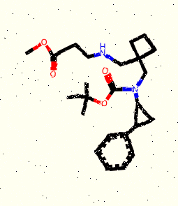 COC(=O)CCNCC1(CN(C(=O)OC(C)(C)C)C2CC2c2ccccc2)CCC1